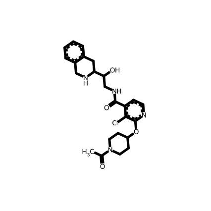 CC(=O)N1CCC(Oc2nccc(C(=O)NCC(O)C3Cc4ccccc4CN3)c2Cl)CC1